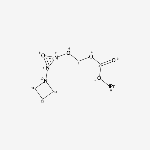 CC(C)OC(=O)OCOn1on1N1CCC1